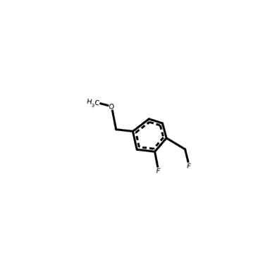 COCc1ccc(CF)c(F)c1